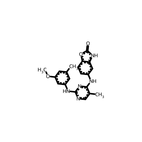 COc1cc(C)cc(Nc2ncc(C)c(Nc3ccc4oc(=O)[nH]c4c3)n2)c1